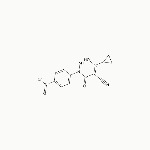 N#CC(C(=O)N(S)c1ccc([N+](=O)[O-])cc1)=C(O)C1CC1